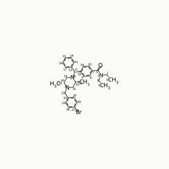 CCN(CC)C(=O)c1ccc([C@H](c2ccccc2)N2C[C@@H](C)N(Cc3ccc(Br)cc3)C[C@@H]2C)cc1